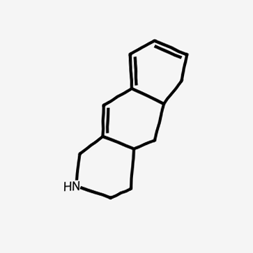 C1=CCC2CC3CCNCC3=CC2=C1